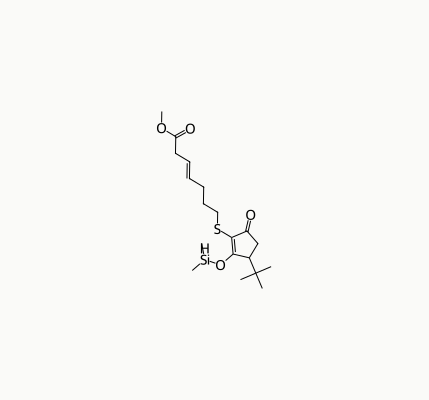 COC(=O)CC=CCCCSC1=C(O[SiH](C)C)C(C(C)(C)C)CC1=O